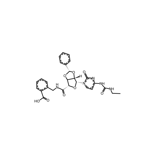 CCNC(=O)Nc1ccn([C@@H]2O[C@H](C(=O)NCc3ccccc3C(=O)O)C3O[C@H](c4ccccc4)O[C@@H]32)c(=O)n1